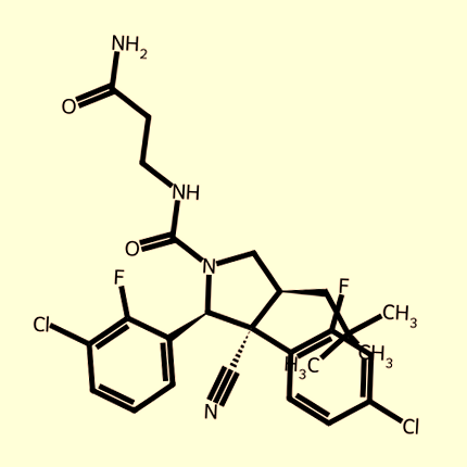 CC(C)(C)C[C@@H]1CN(C(=O)NCCC(N)=O)[C@H](c2cccc(Cl)c2F)[C@]1(C#N)c1ccc(Cl)cc1F